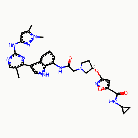 Cc1cnc(Nc2cc(C)n(C)n2)nc1-c1c[nH]c2c(NC(=O)CN3CC[C@H](Oc4cc(C(=O)NC5CC5)on4)C3)cccc12